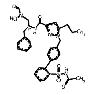 CCCc1cc(C(=O)N[C@@H](Cc2ccccc2)CN(O)C=O)nn1Cc1ccc(-c2ccccc2S(=O)(=O)NC(C)=O)cc1